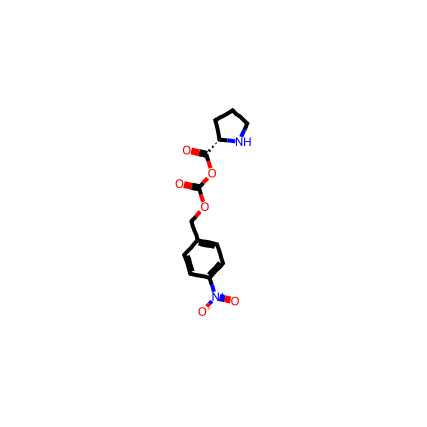 O=C(OCc1ccc([N+](=O)[O-])cc1)OC(=O)[C@@H]1CCCN1